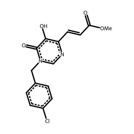 COC(=O)/C=C/c1ncn(Cc2ccc(Cl)cc2)c(=O)c1O